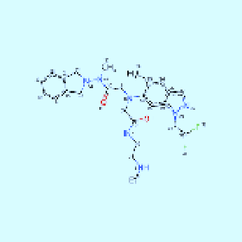 CCNCCNC(=O)CN(CC(=O)N(C)N1Cc2ccccc2C1)c1cc2c(cnn2CC(F)F)cc1C